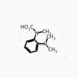 CN(C)c1ccccc1N(C)C(=O)O